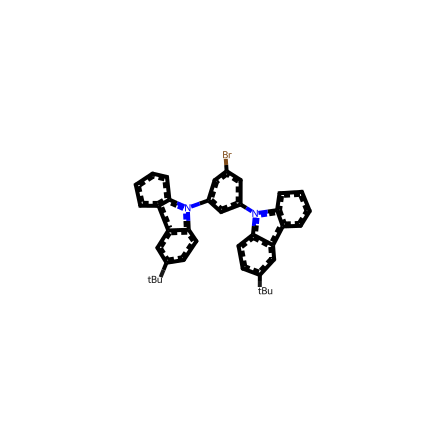 CC(C)(C)c1ccc2c(c1)c1ccccc1n2-c1cc(Br)cc(-n2c3ccccc3c3cc(C(C)(C)C)ccc32)c1